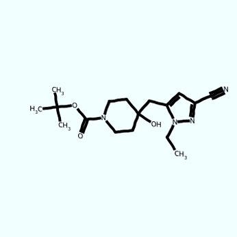 CCn1nc(C#N)cc1CC1(O)CCN(C(=O)OC(C)(C)C)CC1